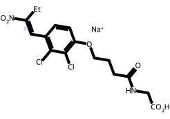 CC/C(=C\c1ccc(OCCCC(=O)NCC(=O)O)c(Cl)c1Cl)[N+](=O)[O-].[Na+]